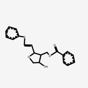 O=C(OCC1C(O)COC1C=CSc1ccccc1)c1ccccc1